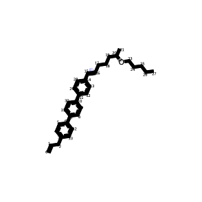 C=CCc1ccc(-c2ccc(-c3ccc(/C=C/CCCC(C)OCCCCC)cc3)cc2)cc1